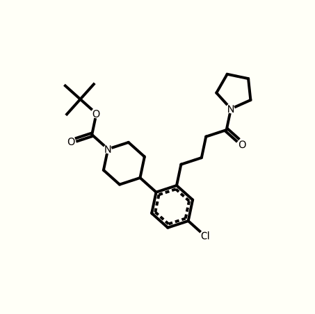 CC(C)(C)OC(=O)N1CCC(c2ccc(Cl)cc2CCCC(=O)N2CCCC2)CC1